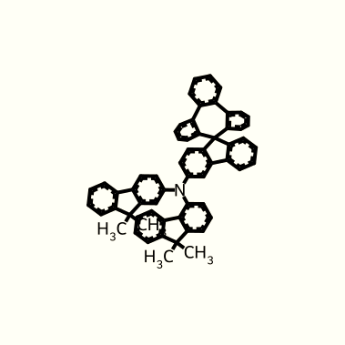 CC1(C)c2ccccc2-c2ccc(N(c3ccc4c(c3)-c3ccccc3C43c4ccccc4-c4ccccc4-c4ccccc43)c3cccc4c3-c3ccccc3C4(C)C)cc21